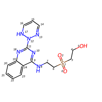 O=S(=O)(CCO)CCNc1nc(N2N=CC=CN2)nc2ccccc12